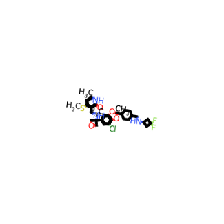 CSc1cc(C)[nH]c(=O)c1CNC1(c2cc(Cl)c3c(c2C)OC(C)(C2CCC(CNC4CC(F)(F)C4)CC2)O3)COC1